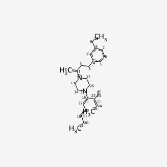 C=C(CCc1cccc(CC)c1)N1CCN(C(=C/C=C/CC)/C(F)=C\C)CC1